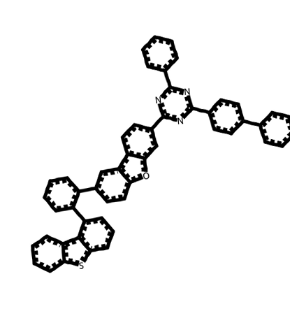 c1ccc(-c2ccc(-c3nc(-c4ccccc4)nc(-c4ccc5c(c4)oc4ccc(-c6ccccc6-c6cccc7sc8ccccc8c67)cc45)n3)cc2)cc1